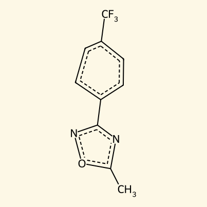 Cc1nc(-c2ccc(C(F)(F)F)cc2)no1